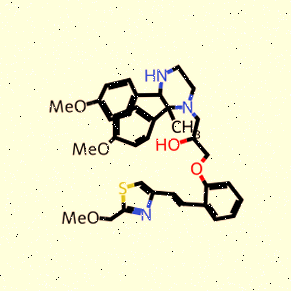 COCc1nc(C=Cc2ccccc2OCC(O)CN2CCNC(c3ccc(OC)cc3)C2(C)c2ccc(OC)cc2)cs1